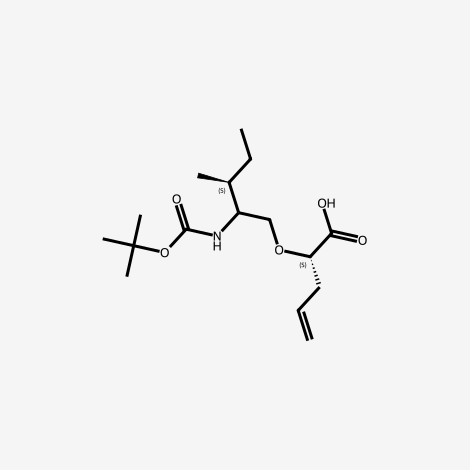 C=CC[C@H](OCC(NC(=O)OC(C)(C)C)[C@@H](C)CC)C(=O)O